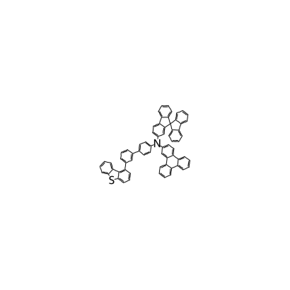 c1cc(-c2ccc(N(c3ccc4c(c3)C3(c5ccccc5-c5ccccc53)c3ccccc3-4)c3ccc4c5ccccc5c5ccccc5c4c3)cc2)cc(-c2cccc3sc4ccccc4c23)c1